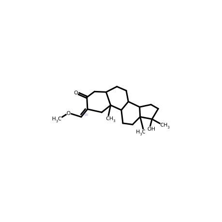 CO/C=C1/CC2(C)C(CCC3C2CCC2(C)C3CCC2(C)O)CC1=O